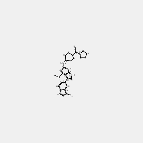 COc1nc(NC2CCC(C(=O)N3CCCC3)CC2)nc2[nH]cc(-c3ccc4ncc(F)n4c3)c12